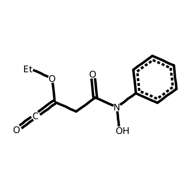 CCOC(=C=O)CC(=O)N(O)c1ccccc1